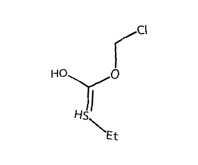 CC[SH]=C(O)OCCl